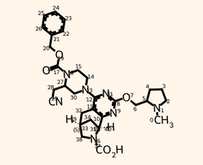 CN1CCCC1COc1nc2c(c(N3CCN(C(=O)OCc4ccccc4)C(CC#N)C3)n1)C[C@H]1C[C@@H]2N(C(=O)O)C1